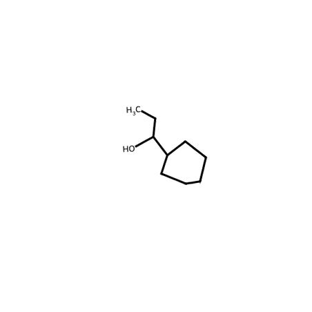 CCC(O)C1CC[CH]CC1